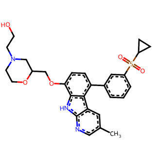 Cc1cnc2[nH]c3c(OCC4CN(CCO)CCO4)ccc(-c4cccc(S(=O)(=O)C5CC5)c4)c3c2c1